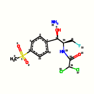 CS(=O)(=O)c1ccc([C@@H](O)[C@@H](CF)NC(=O)C(Cl)Cl)cc1.N